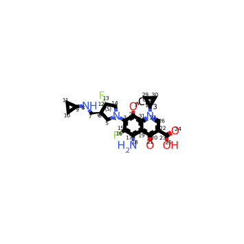 COc1c(N2C[C@@H](CNC3CC3)[C@H](F)C2)c(F)c(N)c2c(=O)c(C(=O)O)cn(C3CC3)c12